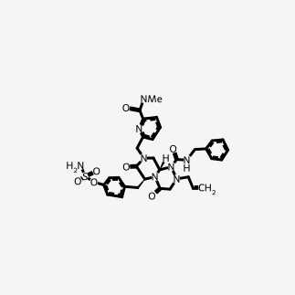 C=CCN1CC(=O)N2[C@@H](Cc3ccc(OS(N)(=O)=O)cc3)C(=O)N(Cc3cccc(C(=O)NC)n3)C[C@@H]2N1C(=O)NCc1ccccc1